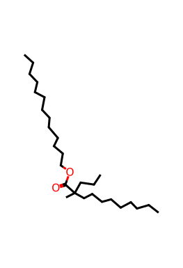 CCCCCCCCCCCCCOC(=O)C(C)(CCC)CCCCCCCCC